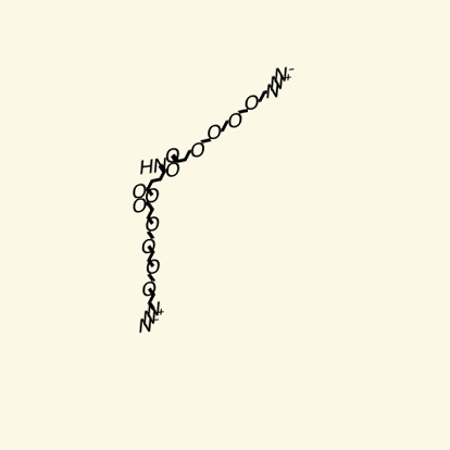 [N-]=[N+]=NCCOCCOCCOCCOCCC(=O)OC(=N)CCC(=O)OC(=O)CCOCCOCCOCCOCCN=[N+]=[N-]